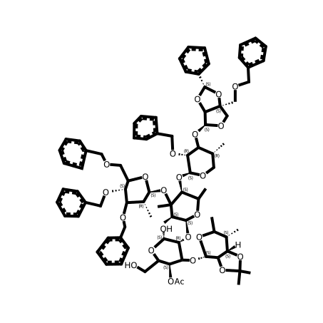 CC(=O)O[C@H]1C(CO)O[C@H](O)[C@H](O[C@@H]2OC(C)[C@H](O[C@@H]3OC[C@@H](C)C(O[C@@H]4OC[C@]5(COCc6ccccc6)O[C@@H](c6ccccc6)OC45)[C@H]3OCc3ccccc3)C(C)(O[C@@H]3OC(COCc4ccccc4)[C@@H](OCc4ccccc4)C(OCc4ccccc4)[C@H]3C)[C@@H]2C)C1O[C@@H]1OC(C)[C@H](C)[C@@H]2OC(C)(C)OC12